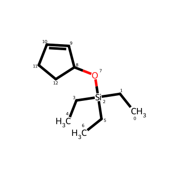 CC[Si](CC)(CC)OC1C=CCC1